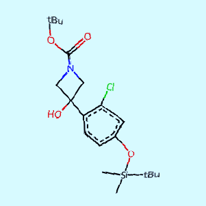 CC(C)(C)OC(=O)N1CC(O)(c2ccc(O[Si](C)(C)C(C)(C)C)cc2Cl)C1